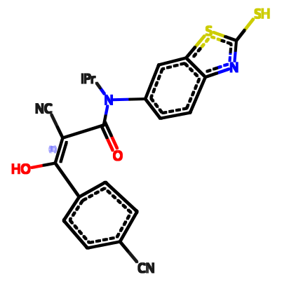 CC(C)N(C(=O)/C(C#N)=C(/O)c1ccc(C#N)cc1)c1ccc2nc(S)sc2c1